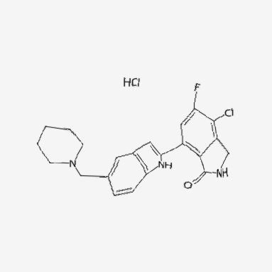 Cl.O=C1NCc2c(Cl)c(F)cc(-c3cc4cc(CN5CCCCC5)ccc4[nH]3)c21